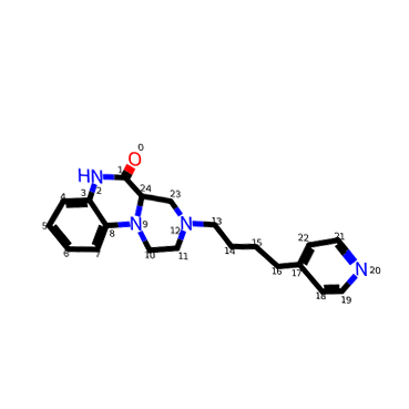 O=C1Nc2ccccc2N2CCN(CCCCc3ccncc3)CC12